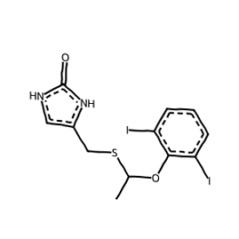 CC(Oc1c(I)cccc1I)SCc1c[nH]c(=O)[nH]1